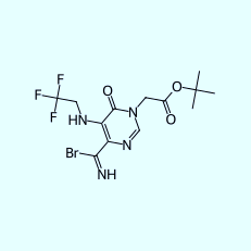 CC(C)(C)OC(=O)Cn1cnc(C(=N)Br)c(NCC(F)(F)F)c1=O